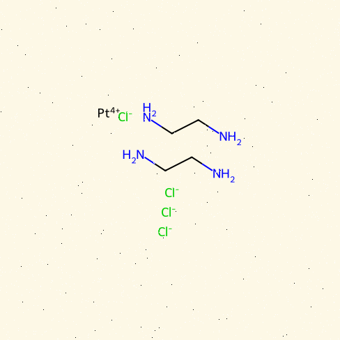 NCCN.NCCN.[Cl-].[Cl-].[Cl-].[Cl-].[Pt+4]